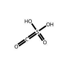 O=C=S(=O)(O)O